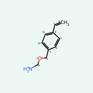 C=Cc1ccc(COCN)cc1